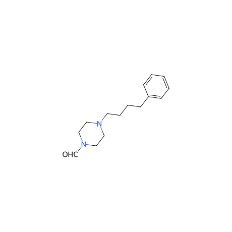 O=CN1CCN(CCCCc2ccccc2)CC1